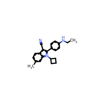 CCNc1ccc(-c2c(C#N)c3ccc(C)cc3n2C2CCC2)cc1